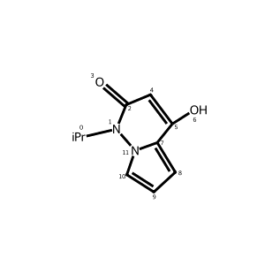 CC(C)n1c(=O)cc(O)c2cccn21